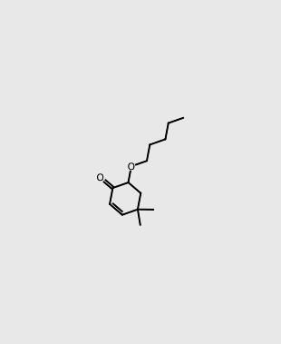 CCCCCOC1CC(C)(C)C=CC1=O